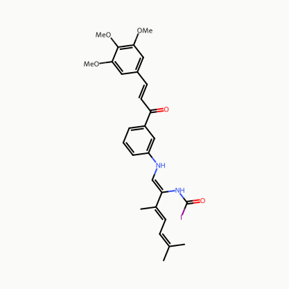 COc1cc(/C=C/C(=O)c2cccc(N/C=C(NC(=O)I)/C(C)=C/C=C(C)C)c2)cc(OC)c1OC